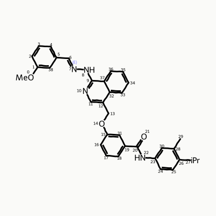 COc1cccc(/C=N/Nc2ncc(COc3cccc(C(=O)Nc4ccc(C(C)C)c(C)c4)c3)c3ccccc23)c1